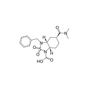 CN(C)C(=O)[C@H]1CC[C@H]2[C@@H](C1)N(Cc1ccccc1)S(=O)(=O)N2C(=O)O